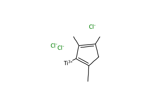 CC1=C(C)[C]([Ti+3])=C(C)C1.[Cl-].[Cl-].[Cl-]